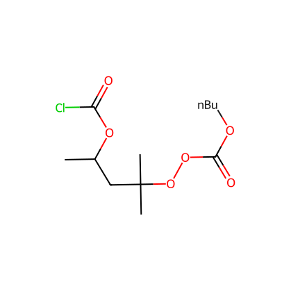 CCCCOC(=O)OOC(C)(C)CC(C)OC(=O)Cl